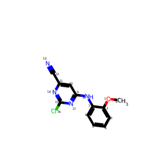 COc1ccccc1Nc1cc(C#N)nc(Cl)n1